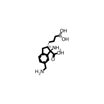 NCc1ccc2c(c1)[C@@](N)(C(=O)O)[C@@H](CCCB(O)O)C2